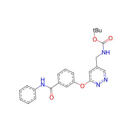 CC(C)(C)OC(=O)NCc1cnnc(Oc2cccc(C(=O)Nc3ccccc3)c2)c1